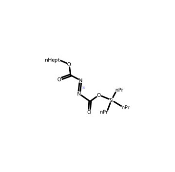 CCCCCCCOC(=O)/N=N/C(=O)O[Si](CCC)(CCC)CCC